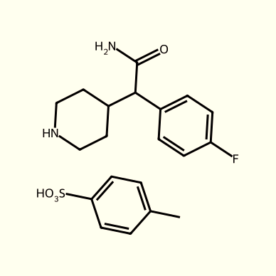 Cc1ccc(S(=O)(=O)O)cc1.NC(=O)C(c1ccc(F)cc1)C1CCNCC1